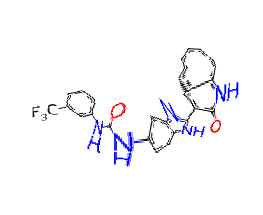 O=C(Nc1cccc(C(F)(F)F)c1)Nc1ccc2[nH]c(-c3c4cccccc-4[nH]c3=O)nc2c1